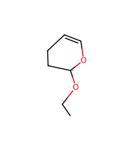 CCO[C]1CCC=CO1